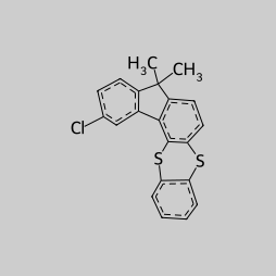 CC1(C)c2ccc(Cl)cc2-c2c1ccc1c2Sc2ccccc2S1